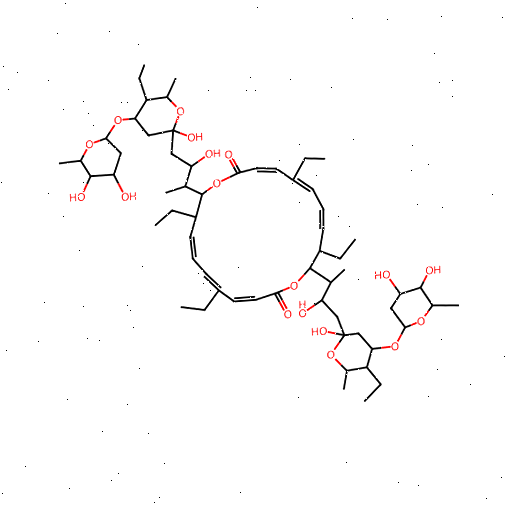 CCC1=CC=CC(CC)C(C(C)C(O)CC2(O)CC(OC3CC(O)C(O)C(C)O3)C(CC)C(C)O2)OC(=O)C=CC(CC)=CC=CC(CC)C(C(C)C(O)CC2(O)CC(OC3CC(O)C(O)C(C)O3)C(CC)C(C)O2)OC(=O)C=C1